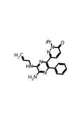 C=CCNc1nc(-c2ccc(=O)n(C(C)C)n2)c(-c2ccccc2)nc1N